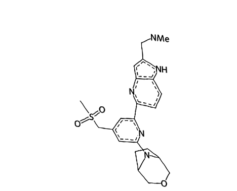 CNCc1cc2nc(-c3cc(CS(C)(=O)=O)cc(N4C5CCC4COC5)n3)ccc2[nH]1